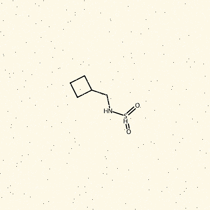 O=[SH](=O)NCC1CCC1